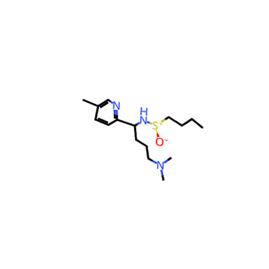 CCCC[S@@+]([O-])NC(CCCN(C)C)c1ccc(C)cn1